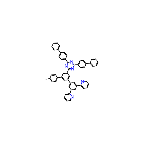 Cc1ccc(-c2cc(-c3cc(-c4ccccn4)cc(-c4ccccn4)c3)cc(-c3nc(-c4ccc(-c5ccccc5)cc4)nc(-c4ccc(-c5ccccc5)cc4)n3)c2)cc1